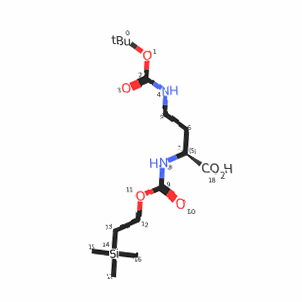 CC(C)(C)OC(=O)NCC[C@H](NC(=O)OCC[Si](C)(C)C)C(=O)O